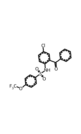 O=C(c1ccccc1)c1cc(Cl)ccc1NS(=O)(=O)c1ccc(OC(F)(F)F)cc1